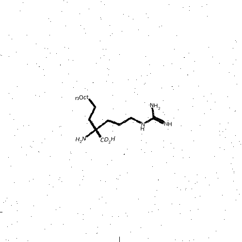 CCCCCCCCCCC(N)(CCCNC(=N)N)C(=O)O